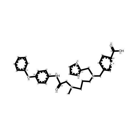 CN(CCCN(Cc1ccc(C(=O)O)cc1)Cc1nccs1)CC(=O)Nc1ccc(Oc2ccccc2)cc1